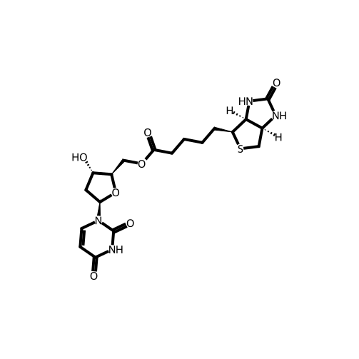 O=C1N[C@H]2[C@H](CS[C@H]2CCCCC(=O)OC[C@H]2O[C@@H](n3ccc(=O)[nH]c3=O)C[C@@H]2O)N1